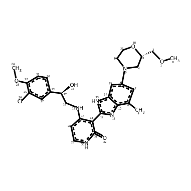 COC[C@@H]1CN(c2cc(C)c3nc(-c4c(NC[C@H](O)c5ccc(OC)c(Cl)c5)cc[nH]c4=O)[nH]c3c2)CCO1